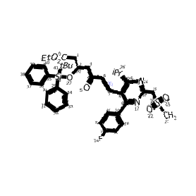 CCOC(=O)C[C@@H](CC(=O)/C=C/c1c(-c2ccc(F)cc2)nc(CS(C)(=O)=O)nc1C(C)C)O[Si](c1ccccc1)(c1ccccc1)C(C)(C)C